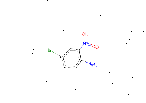 Nc1ccc(Br)cc1[N+](=O)O